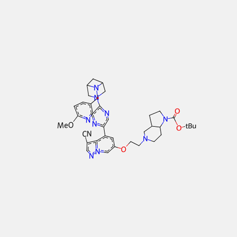 COc1ccc(CN2C3CC2CN(c2cnc(-c4cc(OCCN5CCC6C(CCN6C(=O)OC(C)(C)C)C5)cn5ncc(C#N)c45)cn2)C3)cn1